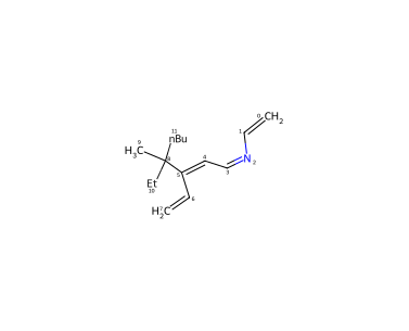 C=C/N=C\C=C(/C=C)C(C)(CC)CCCC